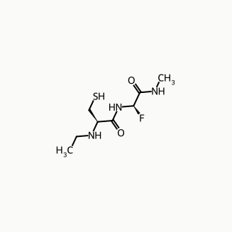 CCN[C@@H](CS)C(=O)N[C@H](F)C(=O)NC